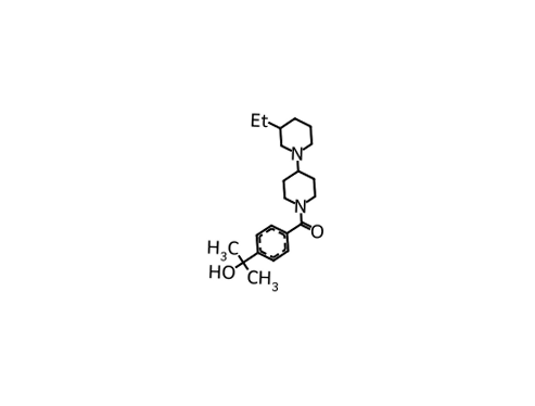 CCC1CCCN(C2CCN(C(=O)c3ccc(C(C)(C)O)cc3)CC2)C1